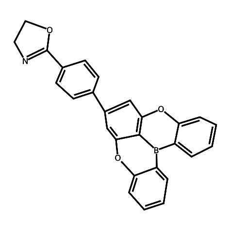 c1ccc2c(c1)Oc1cc(-c3ccc(C4=NCCO4)cc3)cc3c1B2c1ccccc1O3